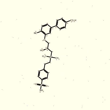 C[N+](C)(CCc1ccc(S(N)(=O)=O)cc1)C[C@@H](O)COc1cc(-c2ccc(C(=O)O)cc2)ccc1C#N